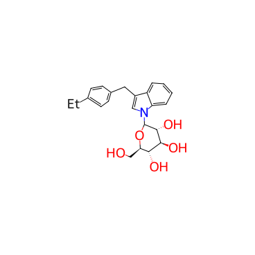 CCc1ccc(Cc2cn(C3O[C@H](CO)[C@@H](O)[C@H](O)[C@H]3O)c3ccccc23)cc1